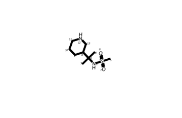 CC(C)(NS(C)(=O)=O)C1CCCNC1